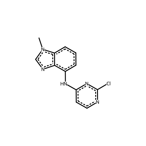 Cn1cnc2c(Nc3ccnc(Cl)n3)cccc21